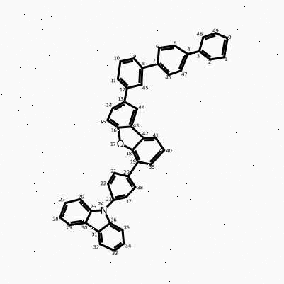 c1ccc(-c2ccc(-c3cccc(-c4ccc5oc6c(-c7ccc(-n8c9ccccc9c9ccccc98)cc7)cccc6c5c4)c3)cc2)cc1